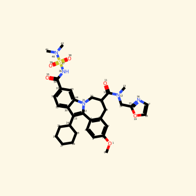 COc1ccc2c(c1)CC(C(=O)N(C)Cc1ncco1)Cn1c-2c(C2CCCCC2)c2ccc(C(=O)NS(=O)(=O)N(C)C)cc21